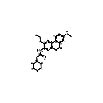 CCCc1nc2c(nc1NC(=O)CC1CCCCC1)CCc1cc(OC)ccc1-2